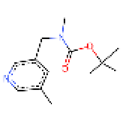 Cc1cncc(CN(C)C(=O)OC(C)(C)C)c1